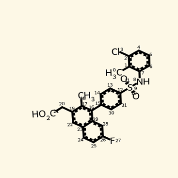 Cc1c(Cl)cccc1NS(=O)(=O)c1ccc(-c2c(C)c(CC(=O)O)cc3ccc(F)cc23)cc1